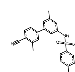 Cc1ccc(S(=O)(=O)Nc2cc(C)cc(-c3ccc(C#N)c(C)c3)c2)cc1